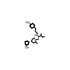 CCC(C)[C@@H](CN1CC[C@@H](c2cccc(O)c2)[C@@H](C)C1C)NCCCc1ccc(O)cc1